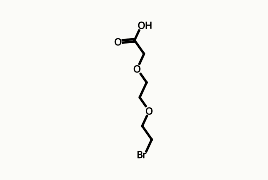 O=C(O)COCCOCCBr